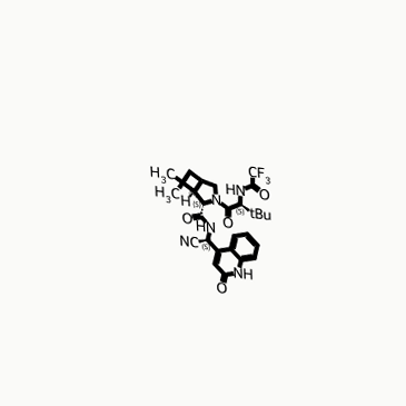 CC(C)(C)[C@H](NC(=O)C(F)(F)F)C(=O)N1CC2CC(C)(C)[C@@H]2[C@H]1C(=O)N[C@H](C#N)c1cc(=O)[nH]c2ccccc12